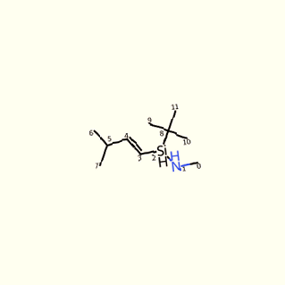 CN[SiH](C=CC(C)C)C(C)(C)C